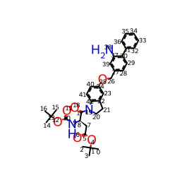 CC(C)(C)OC(=O)C[C@@H](NC(=O)OC(C)(C)C)C(=O)N1CCc2cc(OCc3ccc(-c4ccccc4)c(N)c3)ccc21